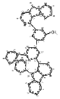 Cc1cc(-c2nc(-c3ccccc3)nc(-c3cccc4c5ccccc5n(-c5ccccc5)c34)n2)cc(-c2cccc3sc4ccccc4c23)c1